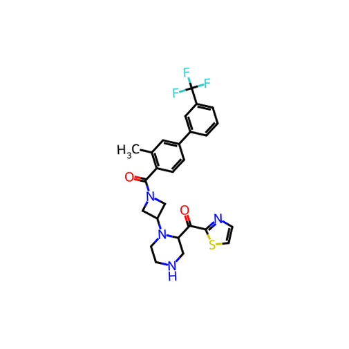 Cc1cc(-c2cccc(C(F)(F)F)c2)ccc1C(=O)N1CC(N2CCNCC2C(=O)c2nccs2)C1